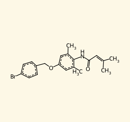 CC(C)=CC(=O)Nc1c(C)cc(OCc2ccc(Br)cc2)cc1C